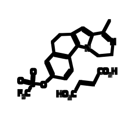 CC1=NCCn2c1cc1c2-c2ccc(OS(=O)(=O)C(F)(F)F)cc2CC1.O=C(O)C=CC(=O)O